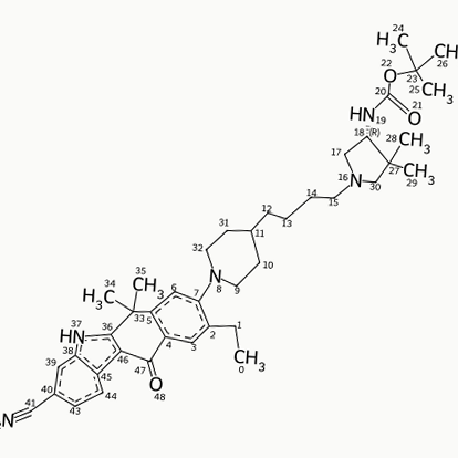 CCc1cc2c(cc1N1CCC(CCCCN3C[C@H](NC(=O)OC(C)(C)C)C(C)(C)C3)CC1)C(C)(C)c1[nH]c3cc(C#N)ccc3c1C2=O